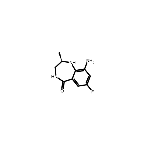 C[C@@H]1CNC(=O)c2cc(F)cc(N)c2N1